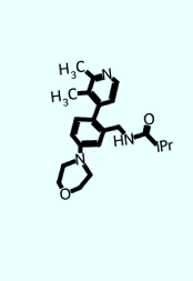 Cc1nccc(-c2ccc(N3CCOCC3)cc2CNC(=O)C(C)C)c1C